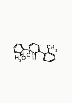 Cc1ccccc1C1=[C]C=CC(C)(c2ccccc2C)N1